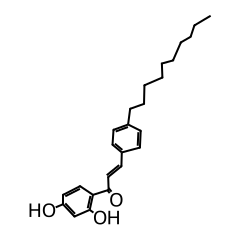 CCCCCCCCCCc1ccc(C=CC(=O)c2ccc(O)cc2O)cc1